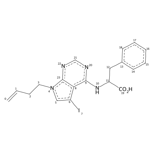 C=CCCn1cc(I)c2c(NC(Cc3ccccc3)C(=O)O)ncnc21